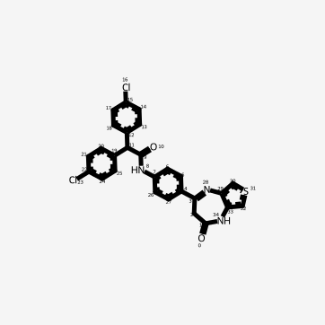 O=C1CC(c2ccc(NC(=O)C(c3ccc(Cl)cc3)c3ccc(Cl)cc3)cc2)=Nc2cscc2N1